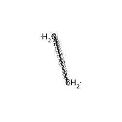 [CH2]CCCCCC=CCCCCCCCCCCCCCCC[CH2]